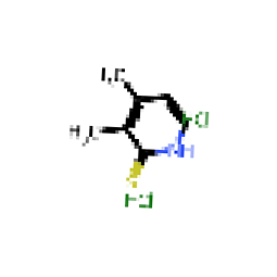 Cc1cc[nH]c(=S)c1C.Cl.Cl